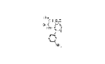 CC(C)(C)OC(=O)Nc1c(C(=O)O)ccnc1-c1cccc(N)c1